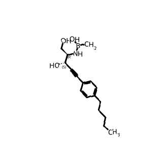 CCCCCc1ccc(C#C[C@H](O)[C@@H](CO)NB(C)O)cc1